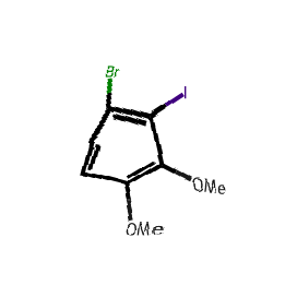 COc1ccc(Br)c(I)c1OC